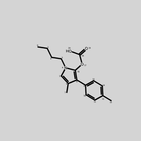 CCCCn1cc(C)c(-c2ccc(C)cc2)c1OC(=O)O